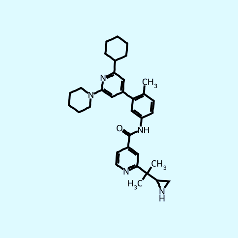 Cc1ccc(NC(=O)c2ccnc(C(C)(C)C3CN3)c2)cc1-c1cc(C2CCCCC2)nc(N2CCCCC2)c1